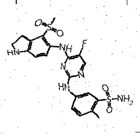 Cc1ccc(Nc2ncc(F)c(Nc3ccc4c(c3S(C)(=O)=O)CCN4)n2)cc1S(N)(=O)=O